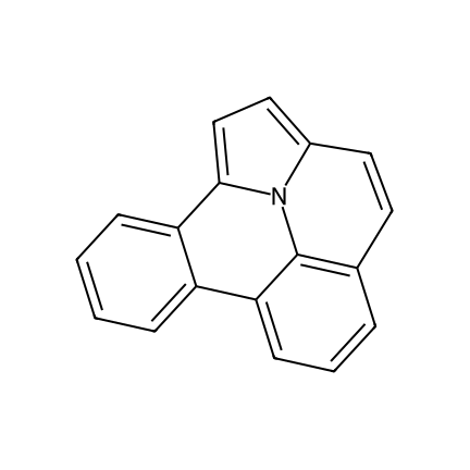 c1ccc2c(c1)c1cccc3ccc4ccc2n4c31